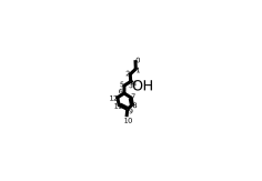 CCCC(O)CC1C=CC(C)=CC1